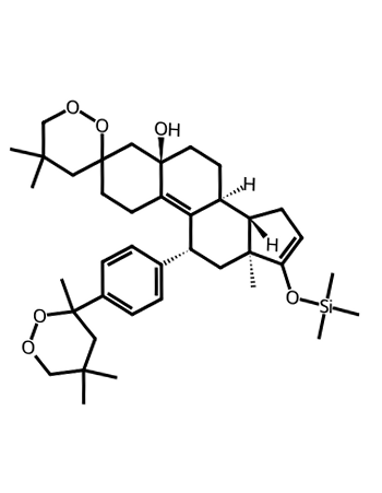 CC1(C)COOC2(CCC3=C4[C@@H](CC[C@@]3(O)C2)[C@@H]2CC=C(O[Si](C)(C)C)[C@@]2(C)C[C@@H]4c2ccc(C3(C)CC(C)(C)COO3)cc2)C1